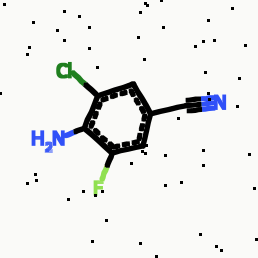 N#Cc1cc(F)c(N)c(Cl)c1